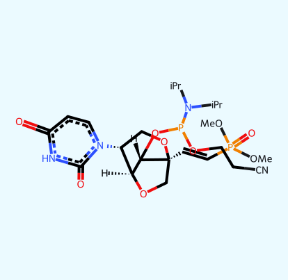 COP(=O)(/C=C/[C@@]12CO[C@@H]([C@H](n3ccc(=O)[nH]c3=O)CO1)[C@@H]2OP(OCCC#N)N(C(C)C)C(C)C)OC